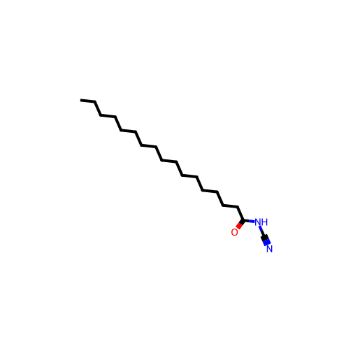 CCCCCCCCCCCCCCCCC(=O)NC#N